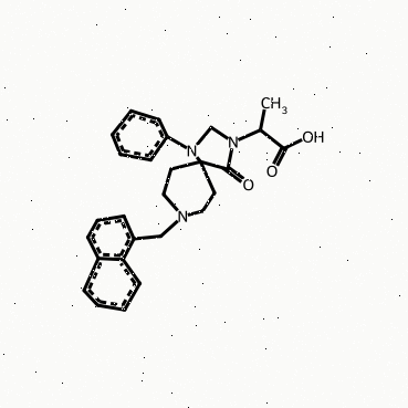 CC(C(=O)O)N1CN(c2ccccc2)C2(CCN(Cc3cccc4ccccc34)CC2)C1=O